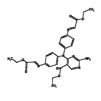 CCOC(=O)C=Nc1ccc(N(c2ccc(N=CC(=O)OCC)cc2)c2nc(N)ncc2C(=O)OCC)cc1